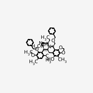 CC[C@H](C#N)N1[C@@H](COCc2ccccc2)c2c(c(O)c(C)c3c2OCO3)C[C@H]1[C@H](c1c(C)cc(C)c(OC)c1OCc1ccccc1)N(C)C